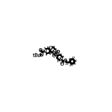 CC(C)(C)OC(=O)N1CCC2(CC1)CN(S(=O)(=O)C1CCN(C(=O)OCc3ccccc3)CC1)CCO2